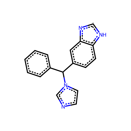 [c]1nc2cc(C(c3ccccc3)n3ccnc3)ccc2[nH]1